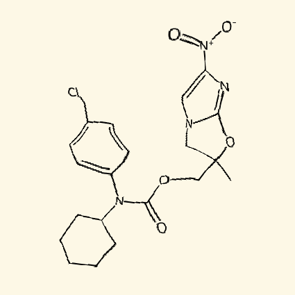 CC1(COC(=O)N(c2ccc(Cl)cc2)C2CCCCC2)Cn2cc([N+](=O)[O-])nc2O1